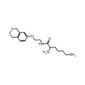 NCCCCC(N)C(=O)NCCOc1ccc2c(c1)CSSC2